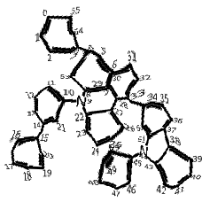 c1ccc(-c2cccc(N(c3cccc(-c4ccccc4)c3)c3ccccc3-c3ccccc3-c3ccc4c5ccccc5n(-c5ccccc5)c4c3)c2)cc1